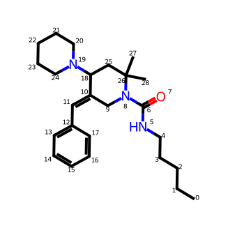 CCCCCNC(=O)N1C/C(=C\c2ccccc2)C(N2CCCCC2)CC1(C)C